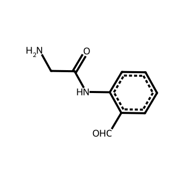 NCC(=O)Nc1ccccc1C=O